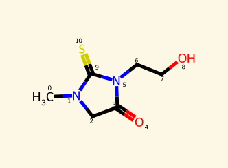 CN1CC(=O)N(CCO)C1=S